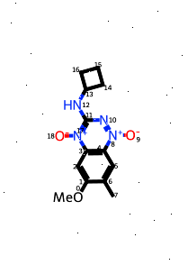 COc1cc2c(cc1C)[n+]([O-])nc(NC1CCC1)[n+]2[O-]